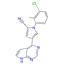 Cc1c(Cl)cccc1-n1cc(-c2ncnc3[nH]ccc23)cc1C#N